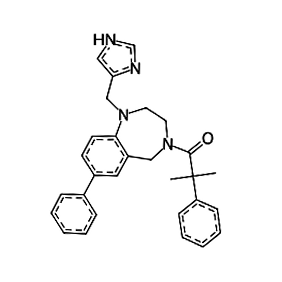 CC(C)(C(=O)N1CCN(Cc2c[nH]cn2)c2ccc(-c3ccccc3)cc2C1)c1ccccc1